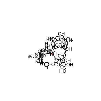 Cc1cc2ccc1Oc1cc3cc(c1O[C@@H]1O[C@H](CO)[C@@H](O)[C@H](O)[C@H]1O)Oc1ccc(cc1Cl)[C@@H](O)[C@@H]1NC(=O)[C@H](NC(=O)[C@@H]3NC(=O)[C@H](CC(N)=O)NC(=O)[C@H](NC(=O)[C@@H](CC(C)C)N(C)C(=O)OC(C)(C)C)[C@@H]2O)c2ccc(O)c(c2)-c2c(O)cc(O)cc2[C@@H](C(=O)N2CCN(C)CC2)NC1=O